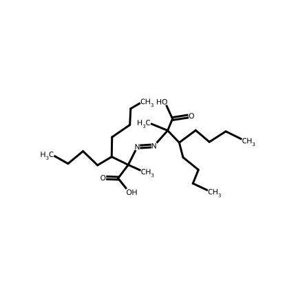 CCCCC(CCCC)C(C)(N=NC(C)(C(=O)O)C(CCCC)CCCC)C(=O)O